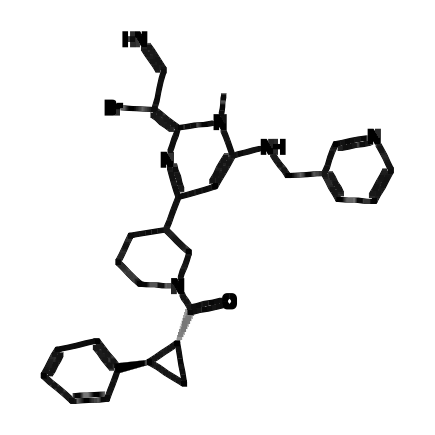 CN1C(NCc2cccnc2)=CC(C2CCCN(C(=O)[C@@H]3C[C@H]3c3ccccc3)C2)=N/C1=C(\Br)C=N